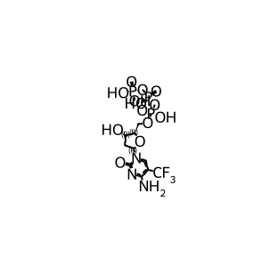 Nc1nc(=O)n([C@H]2C[C@@H](O)[C@@H](COP(=O)(O)OP(=O)(O)OP(=O)(O)O)O2)cc1C(F)(F)F